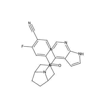 N#Cc1ccc(C(=O)N2C3CCC2CN(c2ncnc4[nH]ccc24)C3)cc1F